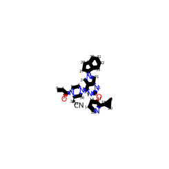 C=CC(=O)N1CCN(c2nc(Oc3cccnc3C3CC3)nc3c2CN(C2CCc4ccccc42)C3)C[C@@H]1CC#N